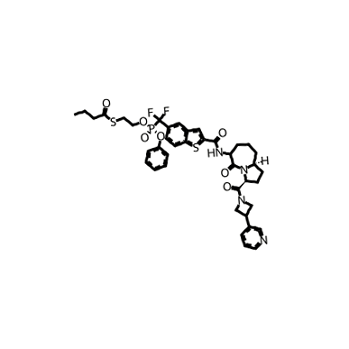 CCCC(=O)SCCOP(=O)(Oc1ccccc1)C(F)(F)c1ccc2sc(C(=O)NC3CCC[C@H]4CC[C@@H](C(=O)N5CC(c6cccnc6)C5)N4C3=O)cc2c1